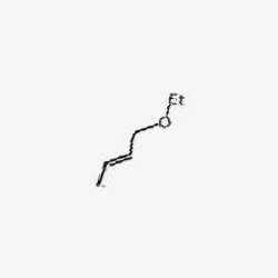 [CH2]C=CCOCC